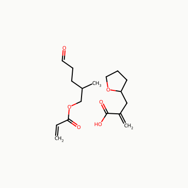 C=C(CC1CCCO1)C(=O)O.C=CC(=O)OCC(C)CCC=O